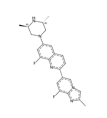 Cc1cn2cc(-c3ccc4cc(N5C[C@@H](C)N[C@H](C)C5)cc(F)c4n3)cc(F)c2n1